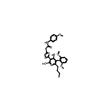 CCCCc1nc(O)c(-c2nnc(CC(=O)Nc3ccc(OC)cc3)o2)c(O)c1-c1c(OC)cccc1OC